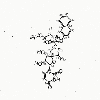 CC(C)OC(=O)[C@H](C)NP(=S)(OC[C@@]1(C(F)F)O[C@@H](n2ccc(=O)[nH]c2=O)[C@H](O)[C@@H]1O)Oc1ccc2ccccc2c1